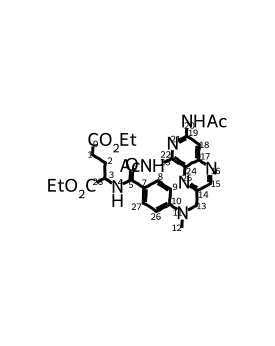 CCOC(=O)CCC(NC(=O)c1ccc(N(C)Cc2cnc3cc(NC(C)=O)nc(NC(C)=O)c3n2)cc1)C(=O)OCC